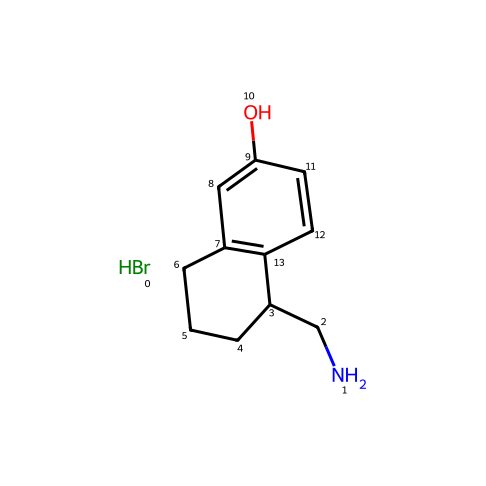 Br.NCC1CCCc2cc(O)ccc21